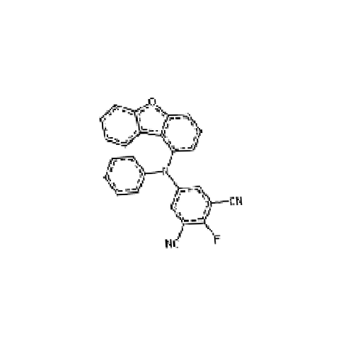 N#Cc1cc(N(c2ccccc2)c2cccc3oc4ccccc4c23)cc(C#N)c1F